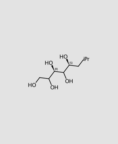 CC(C)C[C@H](O)C(O)[C@H](O)C(O)CO